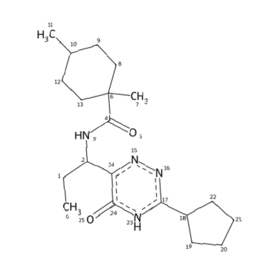 CCC(NC(=O)C1(C)CCC(C)CC1)c1nnc(C2CCCC2)[nH]c1=O